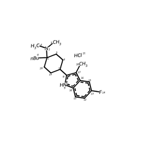 CCCCC1(N(C)C)CCC(c2[nH]c3ccc(F)cc3c2C)CC1.Cl